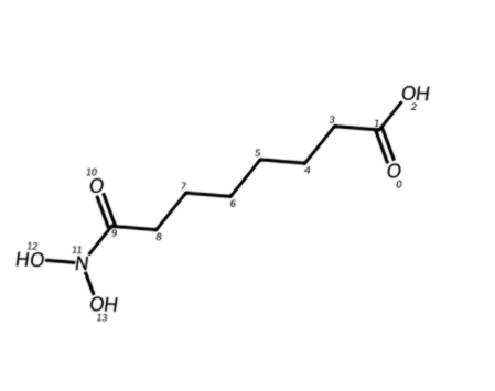 O=C(O)CCCCCCC(=O)N(O)O